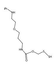 CC(C)NCCOCCCNC(=O)OCSS